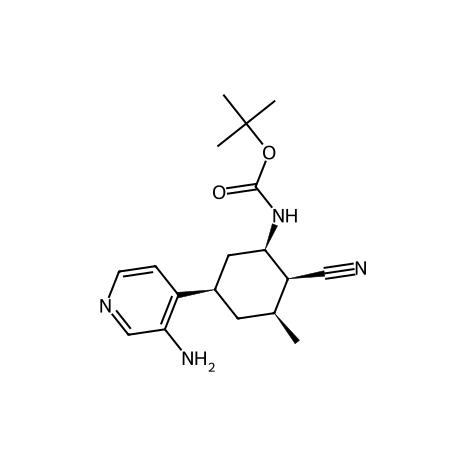 C[C@H]1C[C@@H](c2ccncc2N)C[C@@H](NC(=O)OC(C)(C)C)[C@H]1C#N